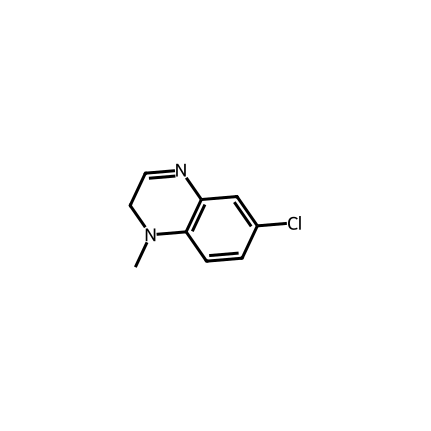 CN1CC=Nc2cc(Cl)ccc21